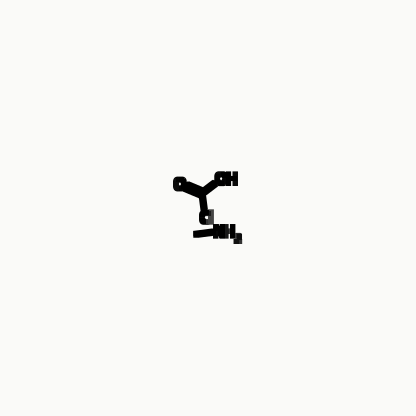 CN.O=C(O)Cl